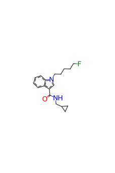 O=C(NCC1CC1)c1cn(CCCCCF)c2ccccc12